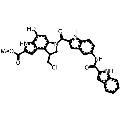 COC(=O)c1cc2c3c(cc(O)c2[nH]1)N(C(=O)c1cc2cc(NC(=O)c4cc5ccccc5[nH]4)ccc2[nH]1)CC3CCl